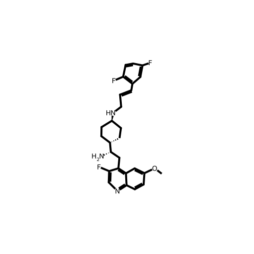 COc1ccc2ncc(F)c(C[C@H](N)[C@H]3CC[C@H](NCC=Cc4cc(F)ccc4F)CC3)c2c1